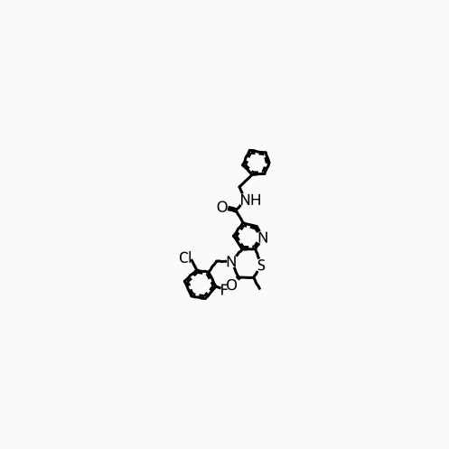 CC1Sc2ncc(C(=O)NCc3ccccc3)cc2N(Cc2c(F)cccc2Cl)C1=O